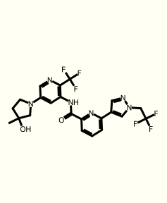 CC1(O)CCN(c2cnc(C(F)(F)F)c(NC(=O)c3cccc(-c4cnn(CC(F)(F)F)c4)n3)c2)C1